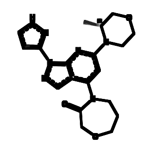 C[C@@H]1COCCN1c1cc(N2CCCOCC2=O)c2cnn(-c3cc[nH]n3)c2n1